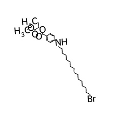 CCC(OC(=O)c1ccc(NCCCCCCCCCCCCCCCCBr)cc1)C(=O)OC